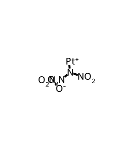 O=[N+]([O-])[N]([Pt+])[N+](=O)[O-].O=[N+]([O-])[O-]